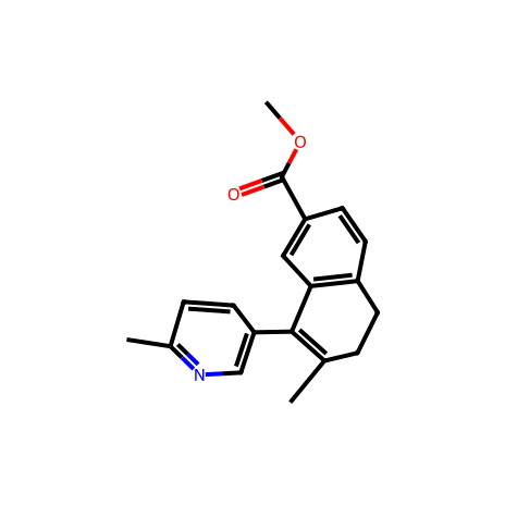 COC(=O)c1ccc2c(c1)C(c1ccc(C)nc1)=C(C)CC2